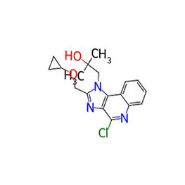 CC(C)(O)Cn1c(COC2CC2)nc2c(Cl)nc3ccccc3c21